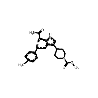 Cc1ccc(-c2cc(C(N)=O)c3[nH]cc(C4CCN(C(=O)OC(C)(C)C)CC4)c3c2)cc1